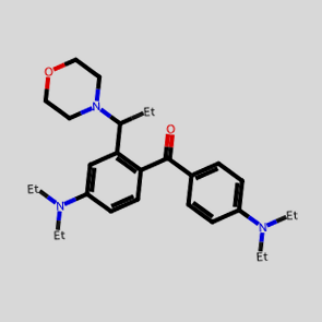 CCC(c1cc(N(CC)CC)ccc1C(=O)c1ccc(N(CC)CC)cc1)N1CCOCC1